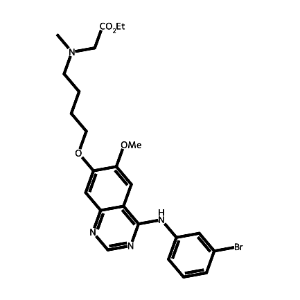 CCOC(=O)CN(C)CCCCOc1cc2ncnc(Nc3cccc(Br)c3)c2cc1OC